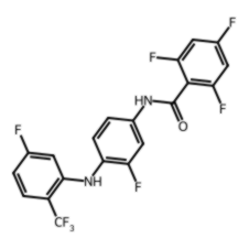 O=C(Nc1ccc(Nc2cc(F)ccc2C(F)(F)F)c(F)c1)c1c(F)cc(F)cc1F